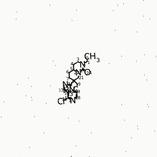 CCN1CCC2CCC(CC)(c3ncc4c(Cl)nccn34)CN2C1=O